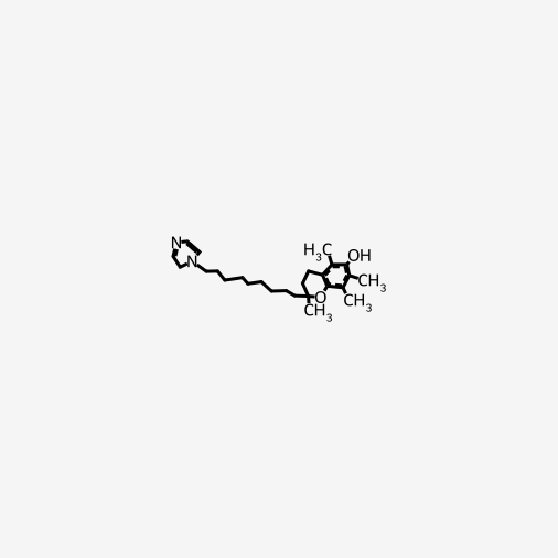 Cc1c(C)c2c(c(C)c1O)CCC(C)(CCCCCCCCCN1C=CN=CC1)O2